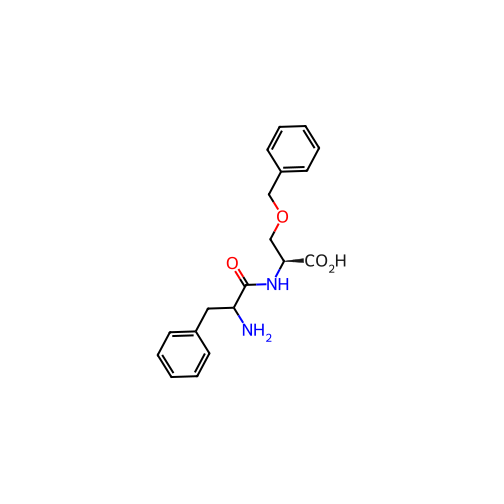 NC(Cc1ccccc1)C(=O)N[C@@H](COCc1ccccc1)C(=O)O